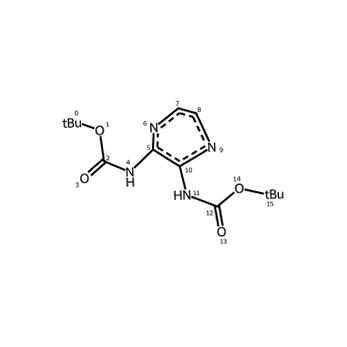 CC(C)(C)OC(=O)Nc1nccnc1NC(=O)OC(C)(C)C